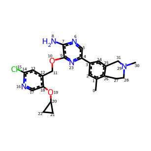 Cc1cc(-c2cnc(N)c(OCc3cc(Cl)ncc3OC3CC3)n2)cc2c1CCN(C)C2